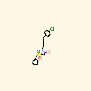 O=C1CC(S(=O)(=O)Cc2ccccc2)N1CCCCCc1ccc(Cl)cc1